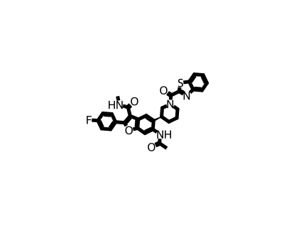 CNC(=O)c1c(-c2ccc(F)cc2)oc2cc(NC(C)=O)c([C@@H]3CCCN(C(=O)c4nc5ccccc5s4)C3)cc12